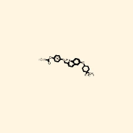 CCCCCCCCC(=O)OC12CCC([AsH]Cc3ccc4cc(OC5CCC(C)(C)CC5)ccc4n3)(CC1)CC2